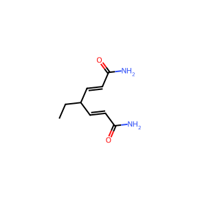 CCC(C=CC(N)=O)C=CC(N)=O